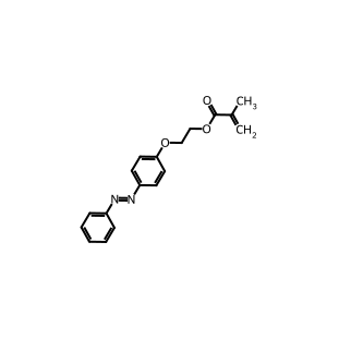 C=C(C)C(=O)OCCOc1ccc(/N=N/c2ccccc2)cc1